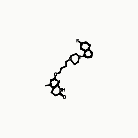 Cc1cc(OCCCCN2CCN(c3cccc4ccc(F)cc34)CC2)nc2c1CCC(=O)N2